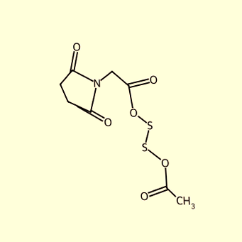 CC(=O)OSSOC(=O)CN1C(=O)CCC1=O